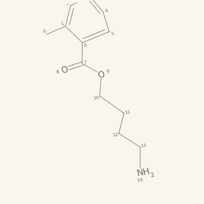 Cc1ccccc1C(=O)OCCCCN